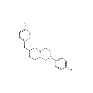 Fc1ccc(CC2CCC3CN(c4ncc(F)cn4)CCN3C2)cc1